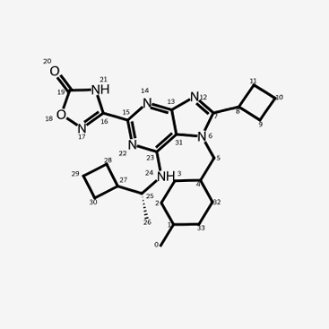 CC1CCC(Cn2c(C3CCC3)nc3nc(-c4noc(=O)[nH]4)nc(N[C@H](C)C4CCC4)c32)CC1